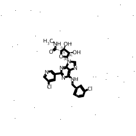 CNC(=O)[C@H]1O[C@@H](n2cnc3c(NCc4cccc(Cl)c4)nc(-c4cncc(Cl)c4)nc32)[C@H](O)[C@@H]1O